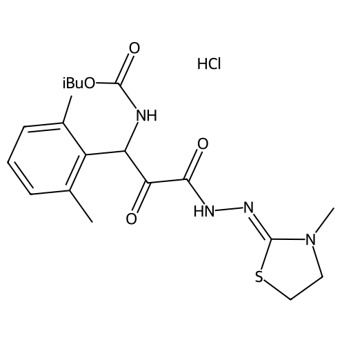 Cc1cccc(C)c1C(NC(=O)OCC(C)C)C(=O)C(=O)N/N=C1\SCCN1C.Cl